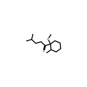 COC1(C(=O)CCC(C)C)CCCCC1C